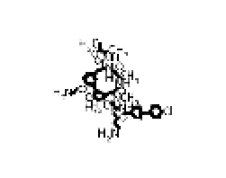 C=C([C@H](CCCCN)NC(=O)c1ccc(-c2ccc(Cl)cc2)cc1)N(C)[C@@H]1C(=O)N[C@@H](C)C(=O)N[C@H](C(=O)N[C@@H](C)C(=O)CC)Cc2ccc(OCCN)c(c2)-c2cc1ccc2C